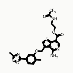 Cc1noc(-c2ccc(C)c(OCc3csc4c(C(=O)OCCNC(=O)C(F)(F)F)cnc(N)c34)c2)n1